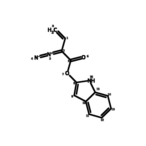 C=CC(=[N+]=[N-])C(=O)Oc1cc2ccccc2[nH]1